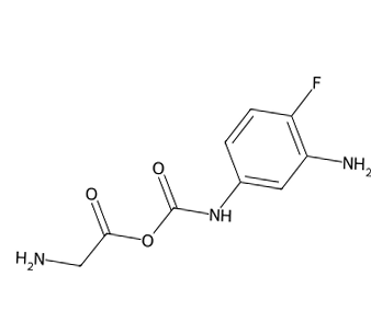 NCC(=O)OC(=O)Nc1ccc(F)c(N)c1